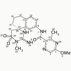 COc1cnc(C(=O)Nc2ccc3c(c2)[C@]2(CCC3)CS(=O)(=O)N(C)C(=N)N2)c(C)n1